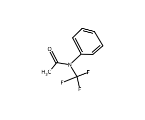 CC(=O)N(c1ccccc1)C(F)(F)F